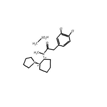 CN(C(=O)Cc1ccc(Cl)c(Cl)c1)[C@@H]1CCCC[C@H]1N1CCCC1.CS(=O)(=O)O